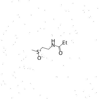 CCC(=O)NCC[S+](C)[O-]